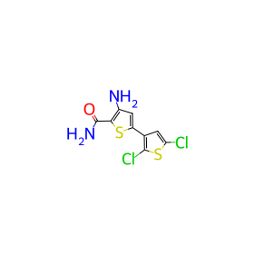 NC(=O)c1sc(-c2cc(Cl)sc2Cl)cc1N